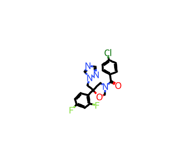 O=C(c1ccc(Cl)cc1)N1COC(Cn2cncn2)(c2ccc(F)cc2F)C1